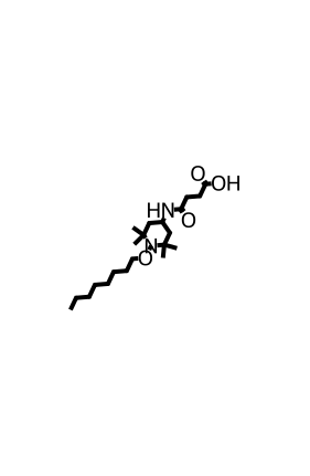 CCCCCCCCON1C(C)(C)CC(NC(=O)CCC(=O)O)CC1(C)C